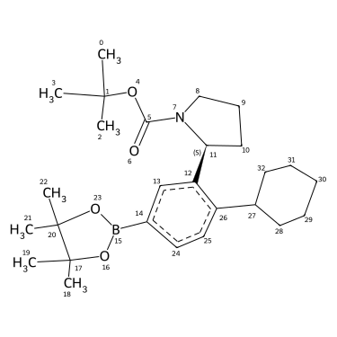 CC(C)(C)OC(=O)N1CCC[C@H]1c1cc(B2OC(C)(C)C(C)(C)O2)ccc1C1CCCCC1